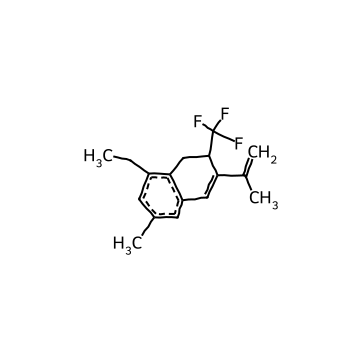 C=C(C)C1=Cc2cc(C)cc(CC)c2CC1C(F)(F)F